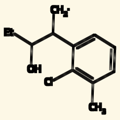 [CH2]C(c1cccc(C)c1Cl)C(O)CC